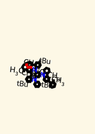 Cc1ccccc1-c1ccc2c(c1)C1(C)CCCCC1(C)N2c1cc2c3c(c1)N(c1ccc(C(C)(C)C)cc1-c1ccccc1)c1cc4c(cc1B3c1ccc(C(C)(C)C)cc1N2c1cccc(C(C)(C)C)c1)C(C)(C)CCC4(C)C